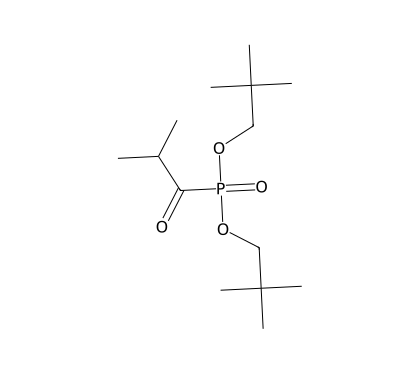 CC(C)C(=O)P(=O)(OCC(C)(C)C)OCC(C)(C)C